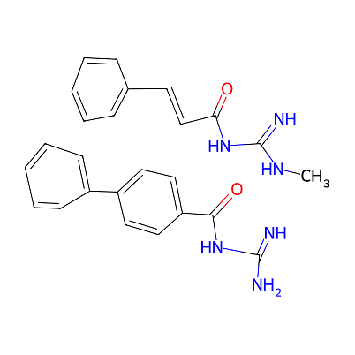 CNC(=N)NC(=O)C=Cc1ccccc1.N=C(N)NC(=O)c1ccc(-c2ccccc2)cc1